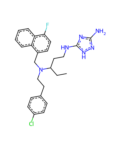 CCC(CCNc1nc(N)n[nH]1)N(CCc1ccc(Cl)cc1)Cc1ccc(F)c2ccccc12